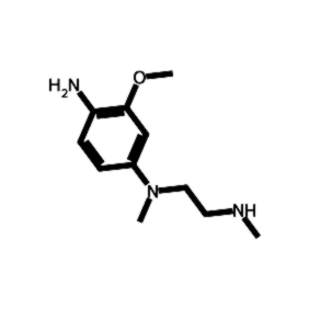 CNCCN(C)c1ccc(N)c(OC)c1